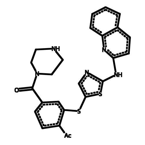 CC(=O)c1ccc(C(=O)N2CCNCC2)cc1Sc1cnc(Nc2ccc3ccccc3n2)s1